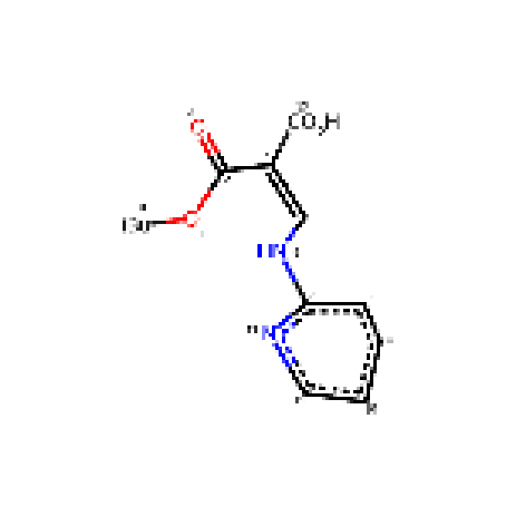 CCC(C)OC(=O)C(=CNc1ccccn1)C(=O)O